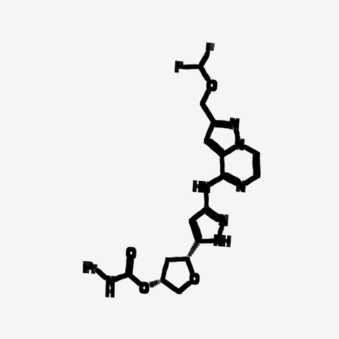 CC(C)NC(=O)O[C@H]1CO[C@@H](c2cc(Nc3nccn4nc(COC(F)F)cc34)n[nH]2)C1